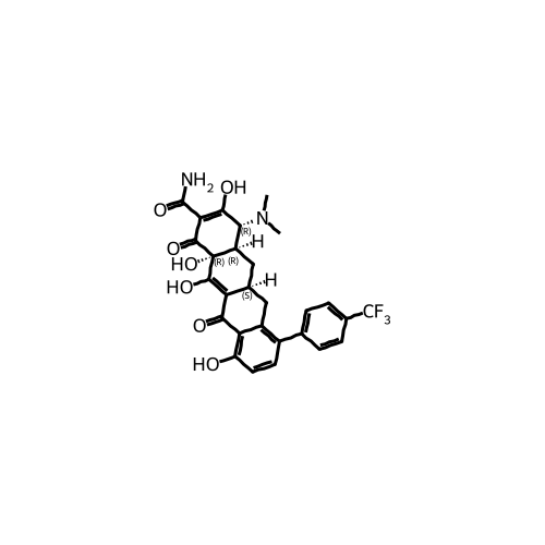 CN(C)[C@H]1C(O)=C(C(N)=O)C(=O)[C@]2(O)C(O)=C3C(=O)c4c(O)ccc(-c5ccc(C(F)(F)F)cc5)c4C[C@@H]3C[C@H]12